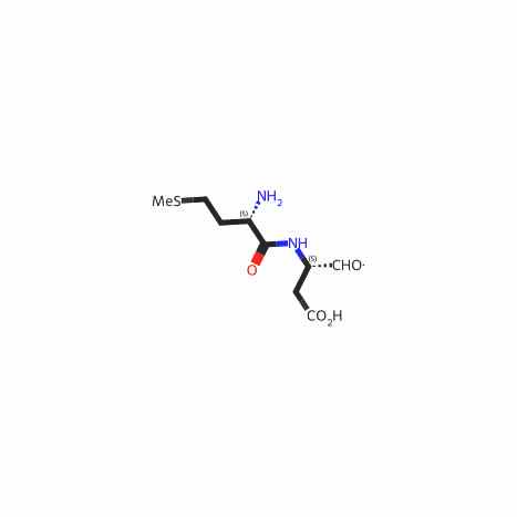 CSCC[C@H](N)C(=O)N[C@H]([C]=O)CC(=O)O